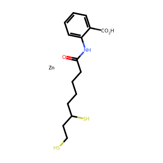 O=C(CCCCC(S)CCS)Nc1ccccc1C(=O)O.[Zn]